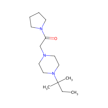 CCC(C)(C)N1CCN(CC(=O)N2CCCC2)CC1